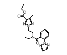 CCOC(=O)c1nn(CCN(CC)C(=O)c2ccccc2-n2nccn2)nc1C